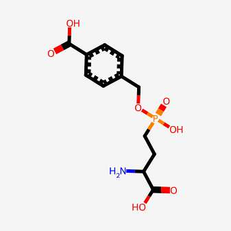 NC(CCP(=O)(O)OCc1ccc(C(=O)O)cc1)C(=O)O